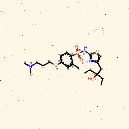 CCC(O)(CC)Cc1csc(NS(=O)(=O)c2ccc(OCCCN(C)C)cc2C)n1